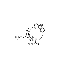 COC(=O)[C@@H]1CCCCc2ccc3[nH]c4ccc(cc4c3c2)CC(C)C(=O)N[C@H](CCCCN)C(=O)N1